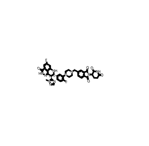 Cn1ncnc1[C@H]1c2n[nH]c(=O)c3cc(F)cc(c23)N[C@@H]1c1ccc(F)c(N2CCN(Cc3ccc4c(c3)C(=O)N(C3CCC(=O)NC3=O)C4=O)CC2)c1